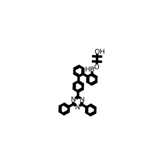 CC(C)(O)C(C)(C)OBc1ccccc1-c1ccccc1-c1ccc(-c2nc(-c3ccccc3)nc(-c3ccccc3)n2)cc1